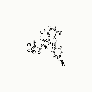 Cc1sc(N(Cc2cc(Cl)ccc2F)c2ccc(C#N)cc2)nc1C(=O)NS(C)(=O)=O